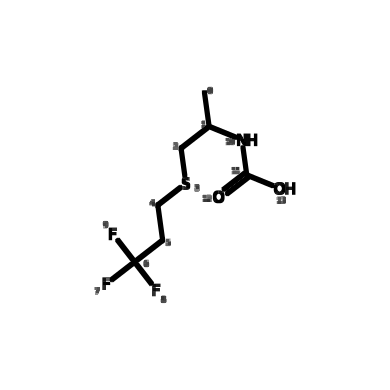 CC(CSCCC(F)(F)F)NC(=O)O